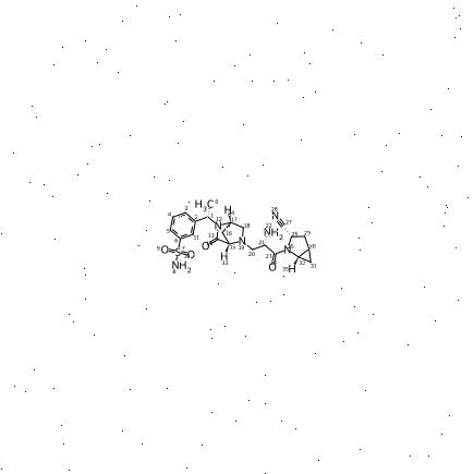 C[C@@H](c1cccc(S(N)(=O)=O)c1)N1C(=O)[C@@H]2C[C@H]1CN2C[C@H](N)C(=O)N1[C@H](C#N)CC2C[C@@H]21